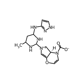 CC1CC(Nc2cc[nH]n2)NC([N+]2=C[C@@H]3C(=C2)OC=CN3C(=O)[O-])N1